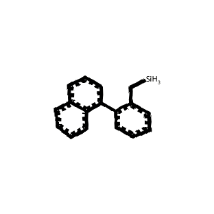 [SiH3]Cc1ccccc1-c1cccc2ccccc12